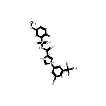 COc1ccc(Cl)c(S(=O)(=O)NC(=O)c2cn(-c3cc(F)cc(C(F)(F)F)c3)cn2)c1